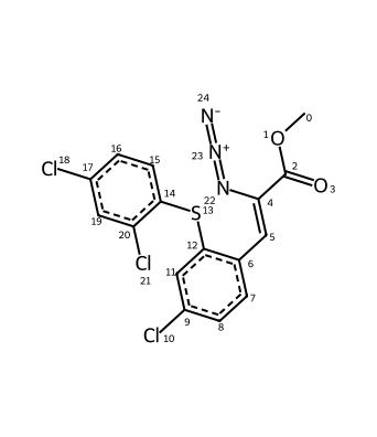 COC(=O)/C(=C/c1ccc(Cl)cc1Sc1ccc(Cl)cc1Cl)N=[N+]=[N-]